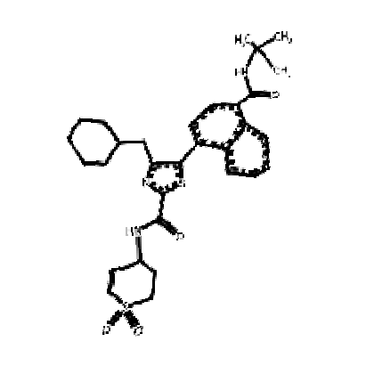 CC(C)(C)NC(=O)c1ccc(-c2sc(C(=O)NC3CCS(=O)(=O)CC3)nc2CC2CCCCC2)c2ccccc12